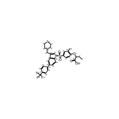 CCC(Oc1ccc(S(=O)(=O)n2cc(CN3CCSCC3)c3cc(-c4ccc(C(F)(F)F)cc4)ccc32)cc1C)C(=O)O